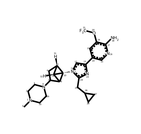 CN1CCN(C2C[C@H]3[C@H]4C2[C@@]43n2cc(-c3cnc(N)c(OC(F)(F)F)c3)nc2CC2CC2)CC1